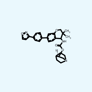 CC1(C)COc2cc(-c3ccc(-c4ccon4)cc3)ccc2C1NC(=O)O[C@H]1CN2CCC1CC2